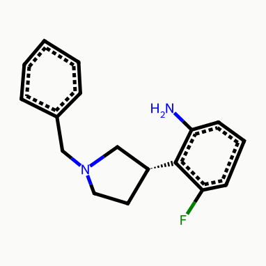 Nc1cccc(F)c1[C@@H]1CCN(Cc2ccccc2)C1